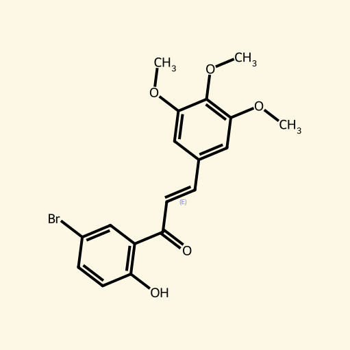 COc1cc(/C=C/C(=O)c2cc(Br)ccc2O)cc(OC)c1OC